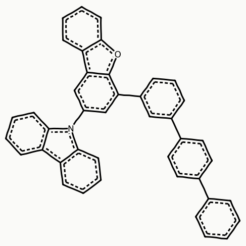 c1ccc(-c2ccc(-c3cccc(-c4cc(-n5c6ccccc6c6ccccc65)cc5c4oc4ccccc45)c3)cc2)cc1